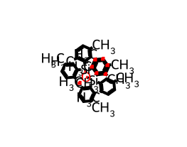 Cc1ccc(C)c([Si](O[Si](c2cc(C)ccc2C)(c2cc(C)ccc2C)c2cc(C)ccc2C)(c2cc(C)ccc2C)c2cc(C)ccc2C)c1